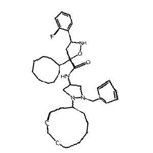 O=C(NC1CN(Cc2ccccc2)N(C2CCCCCCCCCC2)C1)C1(C2CCCCCCCC2)CC(c2ccccc2F)NO1